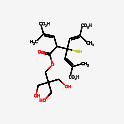 CC(=CC(C(=O)OCC(CO)(CO)CO)C(S)(C=C(C)C(=O)O)C=C(C)C(=O)O)C(=O)O